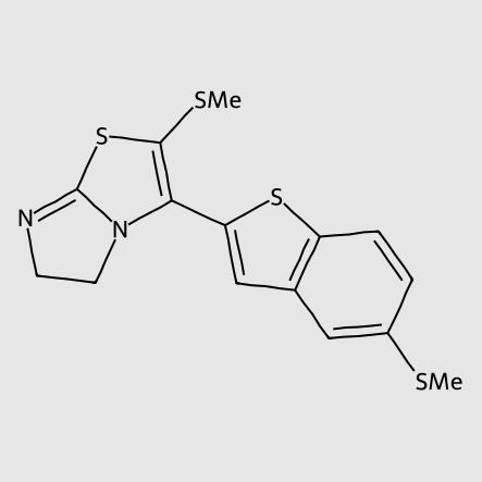 CSC1=C(c2cc3cc(SC)ccc3s2)N2CCN=C2S1